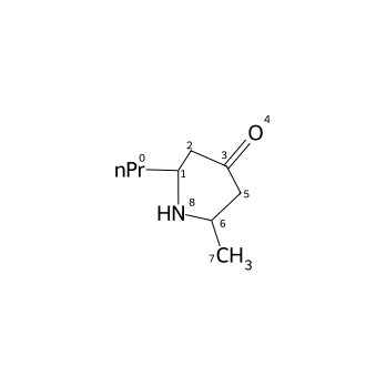 CCCC1CC(=O)CC(C)N1